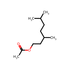 CC(=O)OCCC(C)CCC(C)C